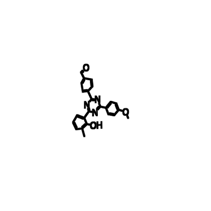 COc1ccc(-c2nc(-c3ccc(C=O)cc3)nc(-c3cccc(C)c3O)n2)cc1